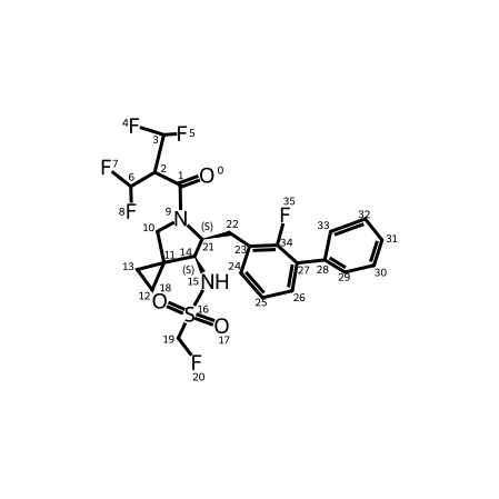 O=C(C(C(F)F)C(F)F)N1CC2(CC2)[C@H](NS(=O)(=O)CF)[C@@H]1Cc1cccc(-c2ccccc2)c1F